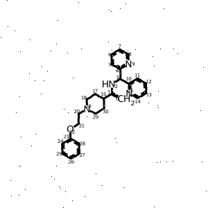 C=C(NC(c1ccccn1)c1ccccn1)C1CCN(CCOc2ccccc2)CC1